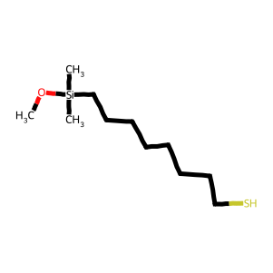 CO[Si](C)(C)CCCCCCCCS